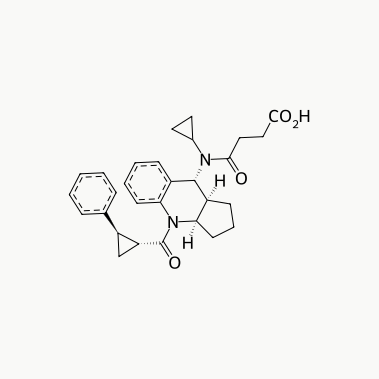 O=C(O)CCC(=O)N(C1CC1)[C@H]1c2ccccc2N(C(=O)[C@@H]2C[C@H]2c2ccccc2)[C@@H]2CCC[C@@H]21